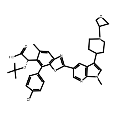 Cc1cc2nc(-c3cnc4c(c3)c(C3CCN(C5COC5)CC3)cn4C)sc2c(-c2ccc(Cl)cc2)c1[C@H](OC(C)(C)C)C(=O)O